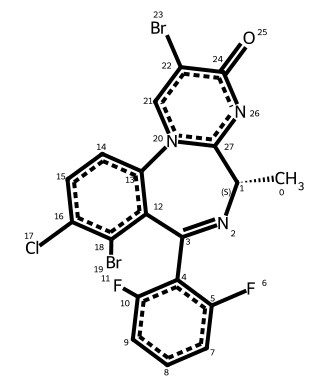 C[C@@H]1N=C(c2c(F)cccc2F)c2c(ccc(Cl)c2Br)-n2cc(Br)c(=O)nc21